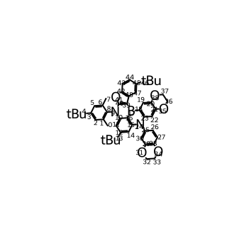 Cc1cc(C(C)(C)C)cc(C)c1N1c2cc(C(C)(C)C)cc3c2B(c2cc4c(cc2N3c2ccc3c(c2)OCCO3)OCCO4)c2c1oc1ccc(C(C)(C)C)cc21